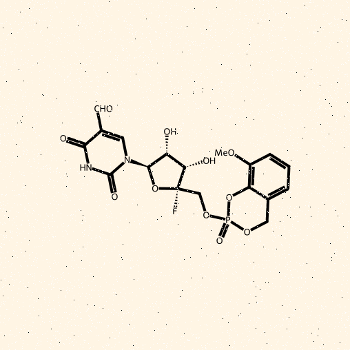 COc1cccc2c1OP(=O)(OC[C@@]1(F)O[C@@H](n3cc(C=O)c(=O)[nH]c3=O)[C@H](O)[C@@H]1O)OC2